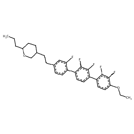 CCCC1CCC(CCc2ccc(-c3ccc(-c4ccc(OCC)c(F)c4F)c(F)c3F)c(F)c2)CO1